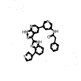 O=C(Cc1ccccc1)Nc1cncc(-c2cnc3[nH]nc(-c4nc5c(-c6ccsc6)cccc5[nH]4)c3c2)c1